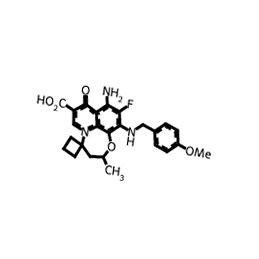 COc1ccc(CNc2c(F)c(N)c3c(=O)c(C(=O)O)cn4c3c2OC(C)CC42CCC2)cc1